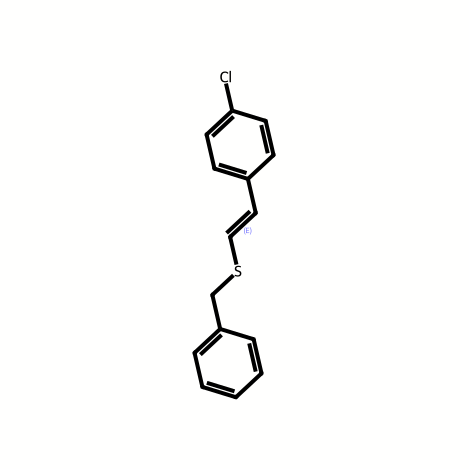 Clc1ccc(/C=C/SCc2ccccc2)cc1